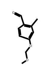 COCOc1ccc(C=O)c(C)c1